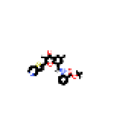 Cc1cc([C@@H](C)Nc2ccccc2C(=O)OC(C)(C)C)c2oc(-c3cc4cnccc4s3)c(C)c(=O)c2c1